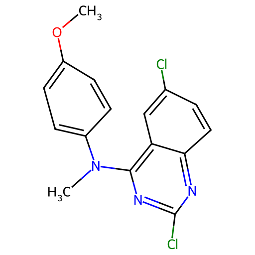 COc1ccc(N(C)c2nc(Cl)nc3ccc(Cl)cc23)cc1